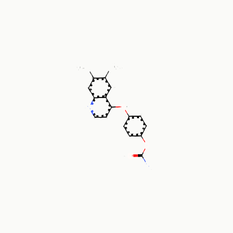 COc1cc2nccc(Oc3ccc(OC(N)=O)cc3)c2cc1OC